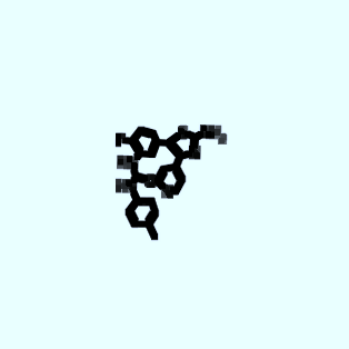 Cc1ccc(NC(=O)Nc2cc(-c3sc(N)nc3-c3ccncc3)ccc2F)cc1